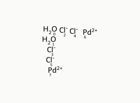 O.O.[Cl-].[Cl-].[Cl-].[Cl-].[Pd+2].[Pd+2]